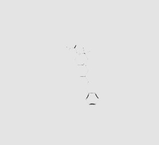 CC1(C)CN(CC(O)COc2ccccc2)CCN1C(N)=O